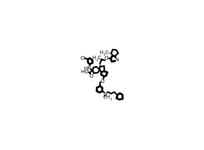 C[C@@H](COc1ccnc2c1[C@H](C)CCC2)C[C@H]1Cc2ccc(OCc3cccc(N(C)CCCc4ccccc4)c3)cc2C12CCC(Nc1cccc(Cl)c1)(C(=O)O)CC2